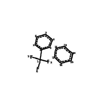 FC(F)(F)c1c[c]ccc1.c1ccccc1